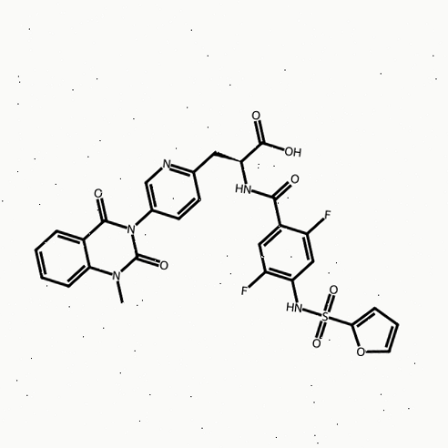 Cn1c(=O)n(-c2ccc(C[C@H](NC(=O)c3cc(F)c(NS(=O)(=O)c4ccco4)cc3F)C(=O)O)nc2)c(=O)c2ccccc21